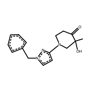 CC1(O)CN(c2ccn(Cc3ccccc3)n2)CCC1=O